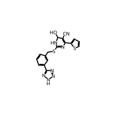 N#CC1=C(c2cccs2)N=C(SCc2cccc(-c3nn[nH]n3)c2)NC1O